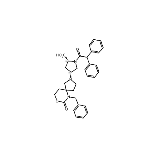 O=C(O)[C@@H]1C[C@H](N2CCC3(CCOC(=O)N3Cc3ccccc3)C2)CN1C(=O)C(c1ccccc1)c1ccccc1